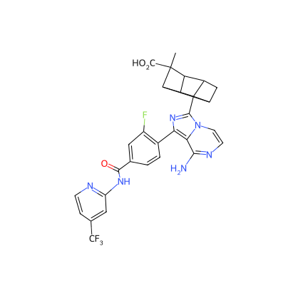 CC1(C(=O)O)C2C3CC4C1C2C34c1nc(-c2ccc(C(=O)Nc3cc(C(F)(F)F)ccn3)cc2F)c2c(N)nccn12